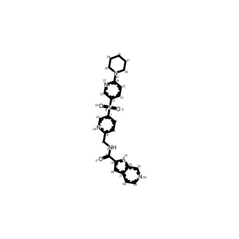 O=C(NCc1ccc(S(=O)(=O)c2ccc(N3CCCCC3)nc2)cn1)c1cc2ccncc2s1